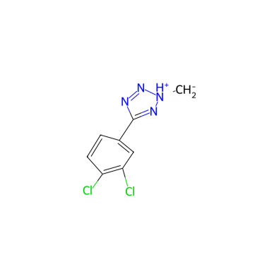 [CH2-][NH+]1N=NC(c2ccc(Cl)c(Cl)c2)=N1